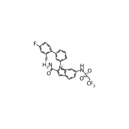 NC(=O)c1cc2ccc(NS(=O)(=O)CC(F)(F)F)cc2n1-c1cccc(-c2ccc(F)cc2F)c1